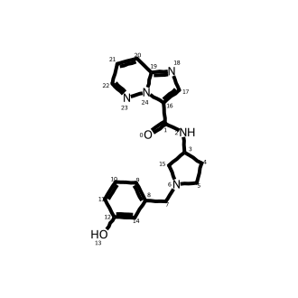 O=C(NC1CCN(Cc2cccc(O)c2)C1)c1cnc2cccnn12